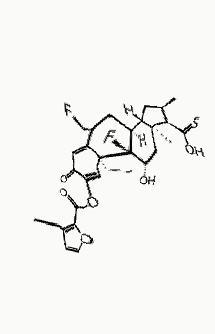 Cc1ccoc1C(=O)OC1=C[C@@]2(C)C(=CC1=O)[C@@H](F)C[C@H]1[C@@H]3C[C@@H](C)[C@@H](C(O)=S)[C@@]3(C)C[C@H](O)[C@@]12F